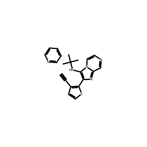 C#Cc1ccsc1-c1nc2cnccn2c1NC(C)(C)C.c1ccncc1